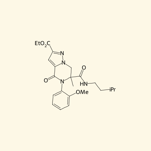 CCOC(=O)c1cc2n(n1)CC(C)(C(=O)NCCC(C)C)N(c1ccccc1OC)C2=O